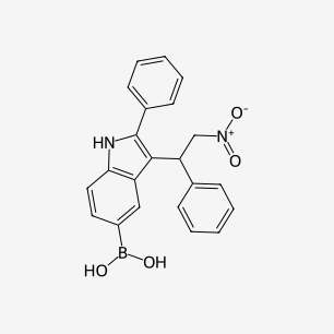 O=[N+]([O-])CC(c1ccccc1)c1c(-c2ccccc2)[nH]c2ccc(B(O)O)cc12